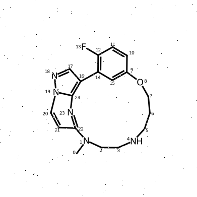 CN1CCNCCCOc2ccc(F)c(c2)-c2cnn3ccc1nc23